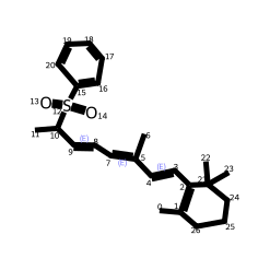 CC1=C(/C=C/C(C)=C/C=C/C(C)S(=O)(=O)c2ccccc2)C(C)(C)CCC1